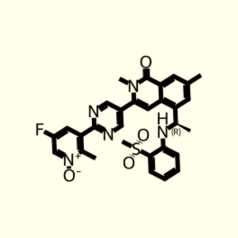 Cc1cc([C@@H](C)Nc2ccccc2S(C)(=O)=O)c2cc(-c3cnc(-c4cc(F)c[n+]([O-])c4C)nc3)n(C)c(=O)c2c1